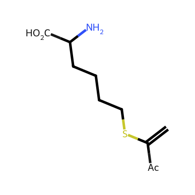 C=C(SCCCCC(N)C(=O)O)C(C)=O